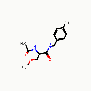 COCC(NC(C)=O)C(=O)NCc1ccc(C)cc1